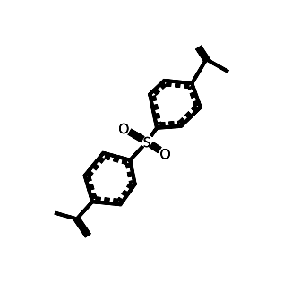 C=C(C)c1ccc(S(=O)(=O)c2ccc(C(=C)C)cc2)cc1